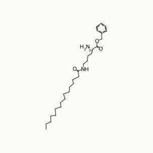 CCCCCCCCCCCCCCCC(=O)NCCCC[C@H](N)C(=O)OCc1ccccc1